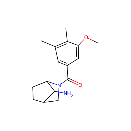 COc1cc(C(=O)N2CC3CCC2C3N)cc(C)c1C